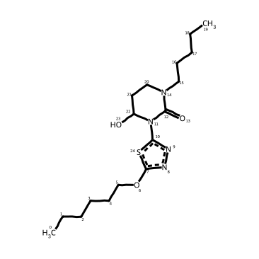 CCCCCCOc1nnc(N2C(=O)N(CCCCC)CCC2O)s1